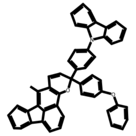 Cc1c2c(c3cccc4c3c1-c1ccccc1-4)OC(c1ccc(Oc3ccccc3)cc1)(c1ccc(-n3c4ccccc4c4ccccc43)cc1)C=C2